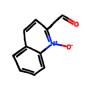 O=Cc1ccc2ccccc2[n+]1[O-]